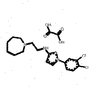 Clc1ccc(-n2ccc(NCCN3CCCCCC3)n2)cc1Cl.O=C(O)C(=O)O